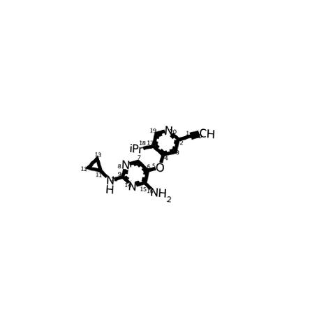 C#Cc1cc(Oc2cnc(NC3CC3)nc2N)c(C(C)C)cn1